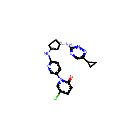 O=c1ccc(Cl)cn1-c1ccc(N[C@H]2CC[C@H](Nc3ncc(C4CC4)nn3)C2)nc1